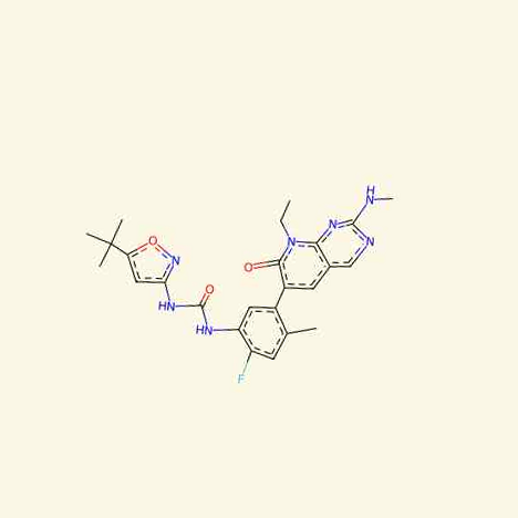 CCn1c(=O)c(-c2cc(NC(=O)Nc3cc(C(C)(C)C)on3)c(F)cc2C)cc2cnc(NC)nc21